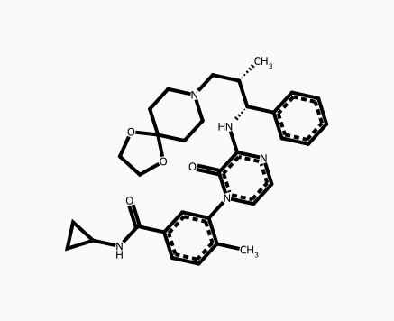 Cc1ccc(C(=O)NC2CC2)cc1-n1ccnc(N[C@@H](c2ccccc2)[C@@H](C)CN2CCC3(CC2)OCCO3)c1=O